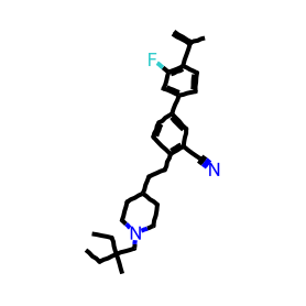 C=C(C)c1ccc(-c2ccc(CCC3CCN(CC(C)(CC)CC)CC3)c(C#N)c2)cc1F